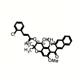 COc1cc2c(c3c1c(=O)c1cc4ccccc4cc1n3C)[C@H](O)[C@H](OC(=O)C=Cc1ccccc1Cl)C(C)(C)O2